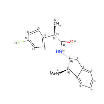 CN[C@@H]1c2ccccc2C[C@H]1NC(=O)[C@H](C)c1ccc(F)cc1